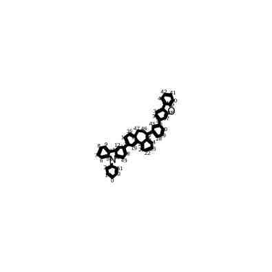 c1ccc(-n2c3ccccc3c3cc(-c4ccc5c(c4)-c4ccccc4C(c4cccc(-c6ccc7c(c6)oc6ccccc67)c4)CC5)ccc32)cc1